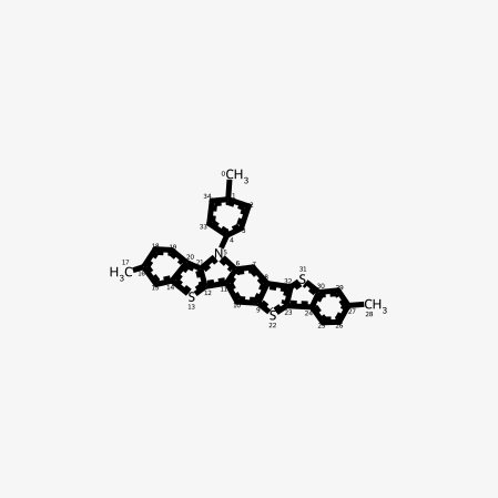 Cc1ccc(-n2c3cc4c(cc3c3sc5cc(C)ccc5c32)sc2c3ccc(C)cc3sc42)cc1